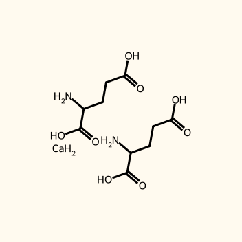 NC(CCC(=O)O)C(=O)O.NC(CCC(=O)O)C(=O)O.[CaH2]